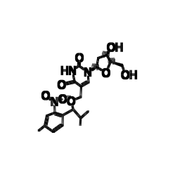 Cc1ccc(C(OCc2cn([C@H]3C[C@@H](O)[C@@H](CO)O3)c(=O)[nH]c2=O)C(C)C)c([N+](=O)[O-])c1